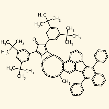 Cc1cccc2cc(cc3c1cc1c4c(cccc43)-c3c-1c(-c1ccccc1)c1ccccc1c3-c1ccccc1)C1=C(C3C=C(C(C)(C)C)C=C(C(C)(C)C)C3)C(=O)C(c3cc(C(C)(C)C)cc(C(C)(C)C)c3)=C12